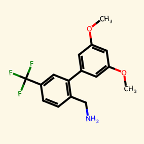 COc1cc(OC)cc(-c2cc(C(F)(F)F)ccc2CN)c1